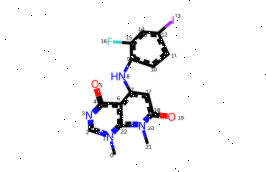 Cn1cnc(=O)c2c(Nc3ccc(I)cc3F)cc(=O)n(C)c21